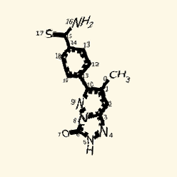 Cc1cc2n[nH]c(=O)n2nc1-c1ccc(C(N)=S)cc1